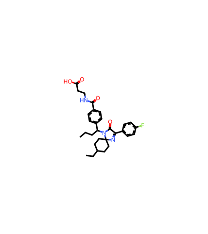 CCCC(c1ccc(C(=O)NCCC(=O)O)cc1)N1C(=O)C(c2ccc(F)cc2)=NC12CCC(CC)CC2